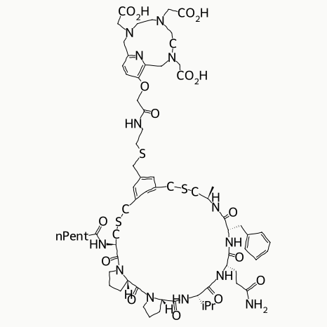 CCCCCC(=O)N[C@H]1CSCc2cc(CSCCNC(=O)COc3ccc4nc3CN(CC(=O)O)CCN(CC(=O)O)CCN(CC(=O)O)C4)cc(c2)CSC[C@@H](C)NC(=O)[C@H](Cc2ccccc2)NC(=O)[C@H](CCC(N)=O)NC(=O)[C@H](C(C)C)NC(=O)[C@@H]2CCCN2C(=O)[C@@H]2CCCN2C1=O